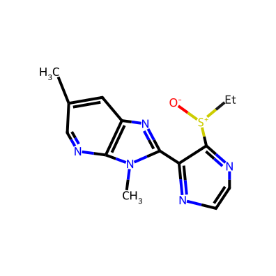 CC[S+]([O-])c1nccnc1-c1nc2cc(C)cnc2n1C